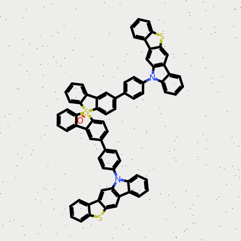 O=S12(c3ccccc3-c3cc(-c4ccc(-n5c6ccccc6c6cc7sc8ccccc8c7cc65)cc4)ccc31)c1ccccc1-c1cc(-c3ccc(-n4c5ccccc5c5cc6sc7ccccc7c6cc54)cc3)ccc12